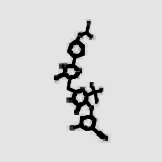 N#Cc1cc(Cl)cc(Oc2c(C(F)(F)F)nc(Cc3cnc(-c4ccc(OC(F)F)cc4)[nH]c3=O)[nH]c2=O)c1